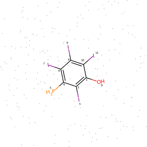 Oc1c(I)c(P)c(I)c(I)c1I